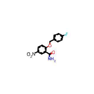 NC(=O)c1cc([N+](=O)[O-])ccc1OCc1ccc(F)cc1